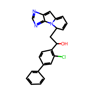 OC(CC1C=CC=c2cc3c(n21)=NC=N3)c1ccc(-c2ccccc2)cc1Cl